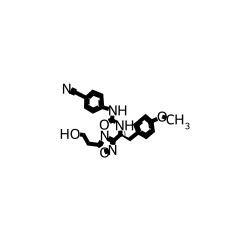 COc1ccc(C[C@H](NC(=O)Nc2ccc(C#N)cc2)c2noc(CCO)n2)cc1